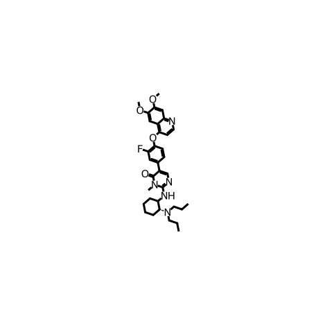 CCCN(CCC)[C@@H]1CCCCC1Nc1ncc(-c2ccc(Oc3ccnc4cc(OC)c(OC)cc34)c(F)c2)c(=O)n1C